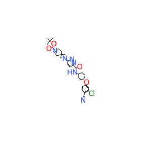 CC(C)(C)OC(=O)N1CCC2(CC1)CN(c1ccc(C(=O)NC3CCC(Oc4ccc(C#N)c(Cl)c4)CC3)nn1)C2